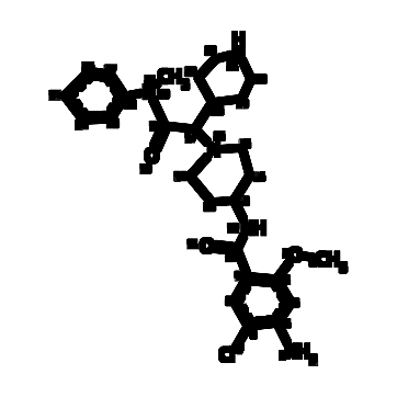 COc1cc(N)c(Cl)cc1C(=O)NC1CCN(C(C(=O)N(C)c2ccccc2)C2CCNCC2)CC1